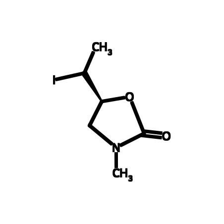 CC(I)[C@@H]1CN(C)C(=O)O1